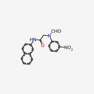 O=[C]N(CC(=O)Nc1ccc2ccccc2c1)c1cccc([N+](=O)[O-])c1